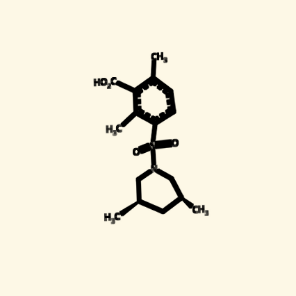 Cc1ccc(S(=O)(=O)N2C[C@H](C)C[C@H](C)C2)c(C)c1C(=O)O